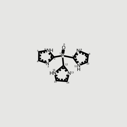 O=P(c1ncc[nH]1)(c1ncc[nH]1)c1ncc[nH]1